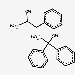 O=C(O)C(O)(c1ccccc1)c1ccccc1.O=C(O)C(O)Cc1ccccc1